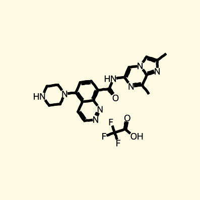 Cc1cn2cc(NC(=O)c3ccc(N4CCNCC4)c4ccnnc34)nc(C)c2n1.O=C(O)C(F)(F)F